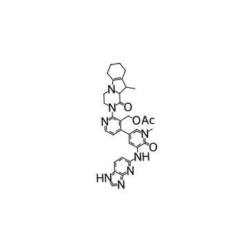 CC(=O)OCc1c(-c2cc(Nc3ccc4[nH]cnc4n3)c(=O)n(C)c2)ccnc1N1CCN2C3=C(CCCC3)C(C)C2C1=O